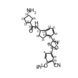 CC(C)Oc1ccc(-c2nc(-c3cccc4c3CC[C@H]4NC(=O)C3CC[C@H](N)C3)no2)cc1C#N